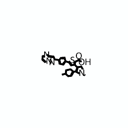 CC1CC=C(C2=C(c3cc(-c4ccc(-c5cc6ncccn6n5)cc4)sc3C(=O)O)CCN(C)C2)CC1